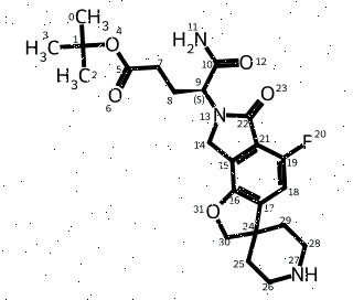 CC(C)(C)OC(=O)CC[C@@H](C(N)=O)N1Cc2c3c(cc(F)c2C1=O)C1(CCNCC1)CO3